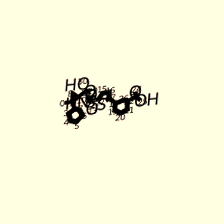 CC1(c2ccccc2)CC1(NS(=O)(=O)c1ccc(-c2cccc(C(=O)O)c2)s1)C(=O)O